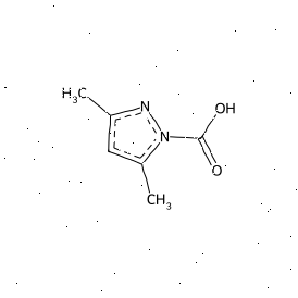 Cc1cc(C)n(C(=O)O)n1